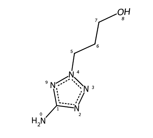 Nc1nnn(CCCO)n1